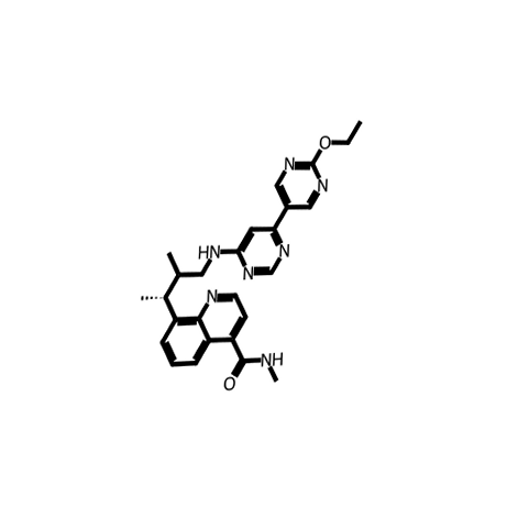 CCOc1ncc(-c2cc(NCC(C)[C@@H](C)c3cccc4c(C(=O)NC)ccnc34)ncn2)cn1